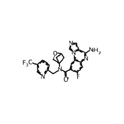 Nc1nc2cc(F)c(C(=O)N(Cc3ccc(C(F)(F)F)cn3)C34COC(C3)C4)cc2n2cncc12